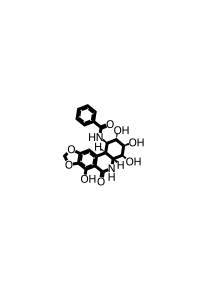 O=C(N[C@H]1[C@H](O)[C@@H](O)[C@@H](O)[C@@H]2NC(=O)c3c(cc4c(c3O)OCO4)[C@@H]12)c1ccccc1